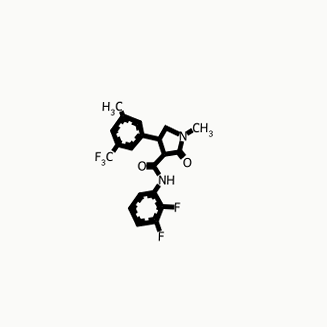 Cc1cc(C2CN(C)C(=O)C2C(=O)Nc2cccc(F)c2F)cc(C(F)(F)F)c1